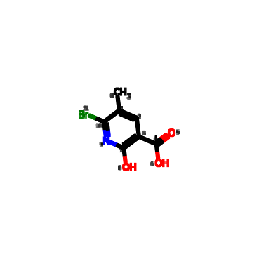 Cc1cc(C(=O)O)c(O)nc1Br